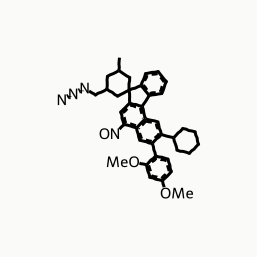 COc1ccc(-c2cc3c(N=O)cc4c(c3cc2C2CCCCC2)-c2ccccc2C42CC(C)CC(CN=[N+]=[N-])C2)c(OC)c1